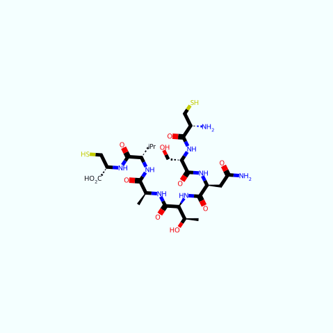 CC(C)[C@H](NC(=O)[C@H](C)NC(=O)[C@@H](NC(=O)[C@H](CC(N)=O)NC(=O)[C@H](CO)NC(=O)[C@@H](N)CS)[C@@H](C)O)C(=O)N[C@@H](CS)C(=O)O